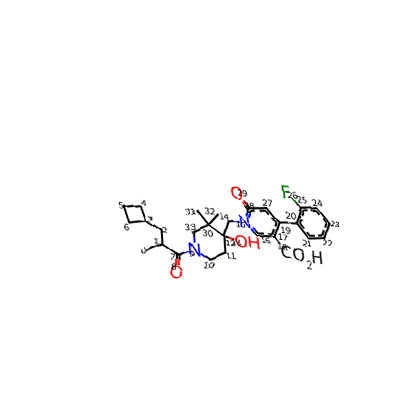 CC(CC1CCC1)C(=O)N1CCC(O)(Cn2cc(C(=O)O)c(-c3ccccc3F)cc2=O)C(C)(C)C1